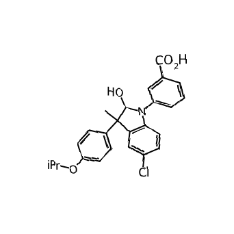 CC(C)Oc1ccc(C2(C)c3cc(Cl)ccc3N(c3cccc(C(=O)O)c3)C2O)cc1